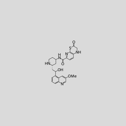 COc1cnc2cccc(C(O)C[C@H]3CC(NC(=O)c4ccc5c(n4)SC(=O)CN5)CCN3)c2c1